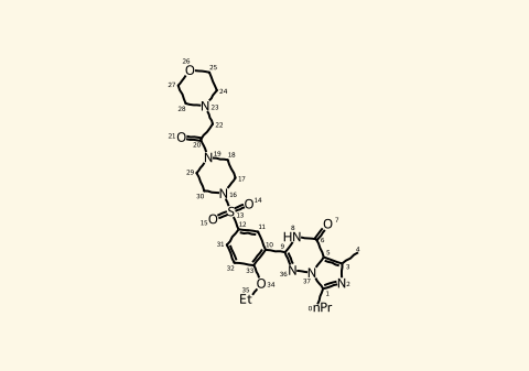 CCCc1nc(C)c2c(=O)[nH]c(-c3cc(S(=O)(=O)N4CCN(C(=O)CN5CCOCC5)CC4)ccc3OCC)nn12